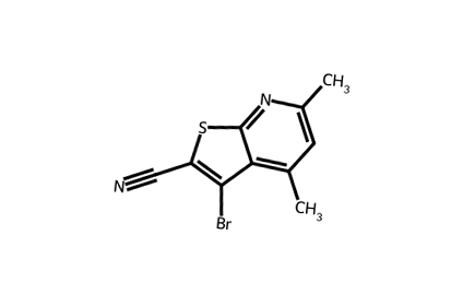 Cc1cc(C)c2c(Br)c(C#N)sc2n1